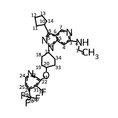 CCNc1cc2c(cn1)c(C1CCCC1)nn2C1CCC(Oc2nccc(C(F)(F)F)c2F)CC1